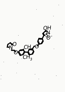 Cc1cc(OCCN2CCCC2=O)cc(C)c1-c1cccc(COc2ccc(-c3cc(O)n[s+]3[O-])cc2)c1